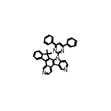 CC1(C)c2ccccc2-c2c1c1c(c3ccncc23)c2cnccc2n1-c1nc(-c2ccccc2)cc(-c2ccccc2)n1